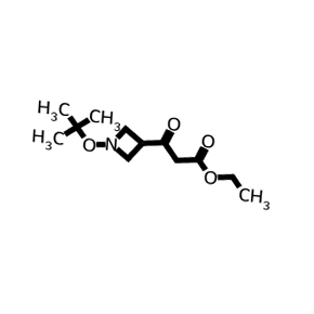 CCOC(=O)CC(=O)C1CN(OC(C)(C)C)C1